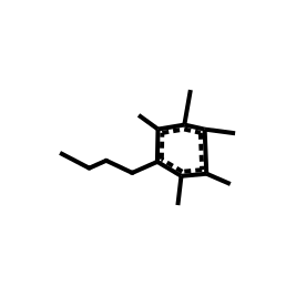 CCCCc1c(C)c(C)c(C)c(C)c1C